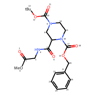 COC(=O)CNC(=O)C1CN(C(=O)OC(C)(C)C)CCN1C(=O)OCc1ccccc1